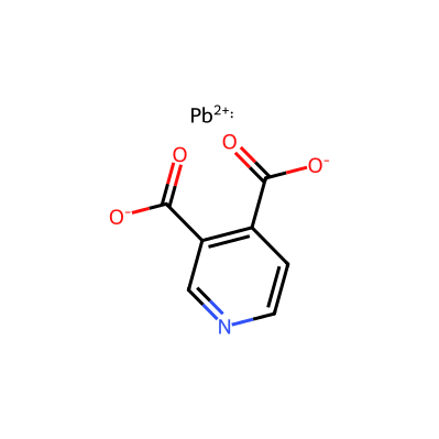 O=C([O-])c1ccncc1C(=O)[O-].[Pb+2]